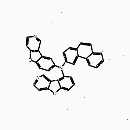 c1ccc2c(c1)ccc1ccc(N(c3ccc4oc5ccncc5c4c3)c3cccc4oc5ccncc5c34)cc12